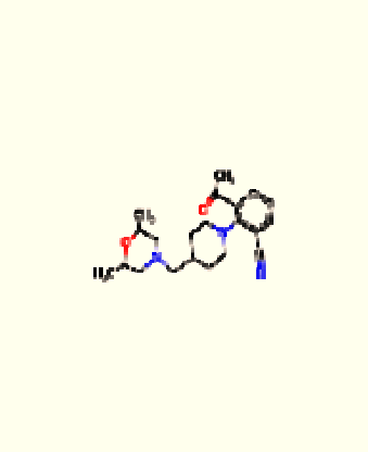 CC(=O)c1cccc(C#N)c1N1CCC(CN2CC(C)OC(C)C2)CC1